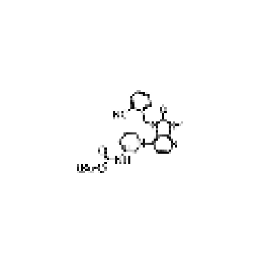 Cn1c(=O)n(Cc2ccccc2C#N)c2c(N3CCC[C@@H](NC(=O)OC(C)(C)C)C3)ccnc21